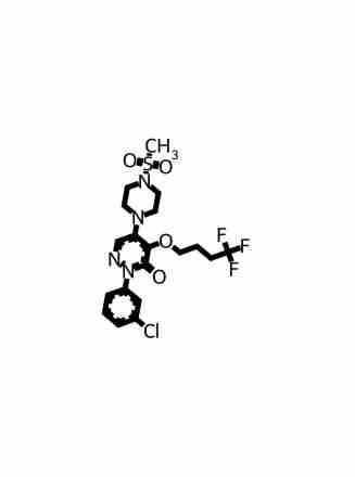 CS(=O)(=O)N1CCN(c2cnn(-c3cccc(Cl)c3)c(=O)c2OCCCC(F)(F)F)CC1